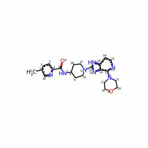 Cc1ccc(C(=O)NC2CCN(c3nc4c(N5CCOCC5)nccc4[nH]3)CC2)nc1